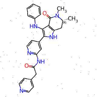 C[C@@H]1Cc2[nH]c(-c3ccnc(NC(=O)Cc4ccncc4)c3)c(Nc3ccccc3)c2C(=O)N1C